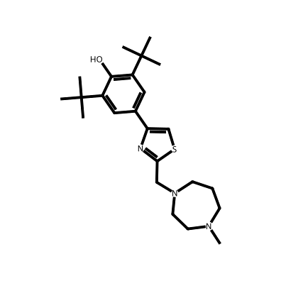 CN1CCCN(Cc2nc(-c3cc(C(C)(C)C)c(O)c(C(C)(C)C)c3)cs2)CC1